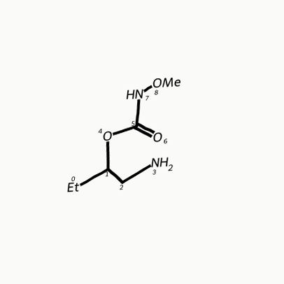 CCC(CN)OC(=O)NOC